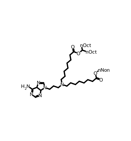 CCCCCCCCCOC(=O)CCCCCCCN(CCCCCCCC(=O)OC(CCCCCCCC)CCCCCCCC)CCCN1C=NC2C(N)=NC=NC21